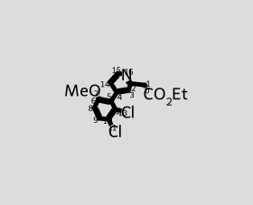 CCOC(=O)Cc1cc(-c2c(OC)ccc(Cl)c2Cl)ccn1